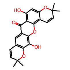 CC1(C)C=Cc2c(cc(O)c3c(=O)c4cc5c(c(O)c4oc23)OC(C)(C)C=C5)O1